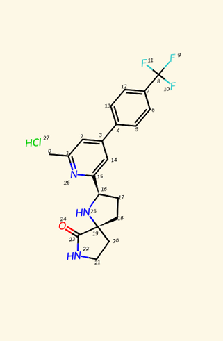 Cc1cc(-c2ccc(C(F)(F)F)cc2)cc([C@H]2CC[C@]3(CCNC3=O)N2)n1.Cl